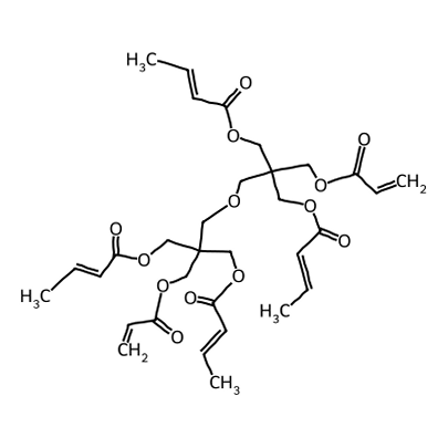 C=CC(=O)OCC(COCC(COC(=O)C=C)(COC(=O)C=CC)COC(=O)C=CC)(COC(=O)C=CC)COC(=O)C=CC